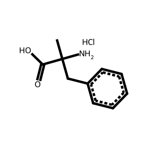 CC(N)(Cc1ccccc1)C(=O)O.Cl